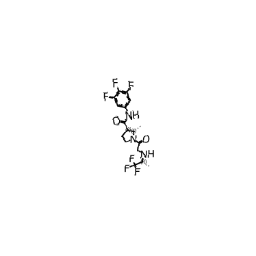 C[C@H]1[C@H](C(=O)Nc2cc(F)c(F)c(F)c2)CCN1C(=O)CN[C@H](C)C(F)(F)F